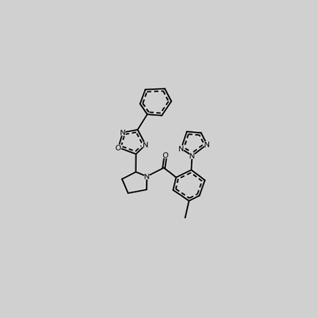 Cc1ccc(-n2nccn2)c(C(=O)N2CCCC2c2nc(-c3ccccc3)no2)c1